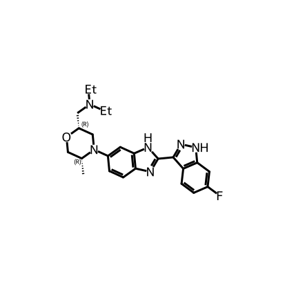 CCN(CC)C[C@@H]1CN(c2ccc3nc(-c4n[nH]c5cc(F)ccc45)[nH]c3c2)[C@H](C)CO1